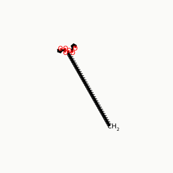 C=C=C=C=C=C=C=C=C=C=C=C=C=C=C=C=C=C=C=C=C=C=C=C=C=C=C=C=C=C=C=C=C=C=C=C(OC(=O)c1ccco1)OC(=O)c1ccco1